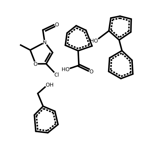 CC1OC(Cl)=CN1C=O.O=C(O)c1ccccc1.OCc1ccccc1.Oc1ccccc1-c1ccccc1